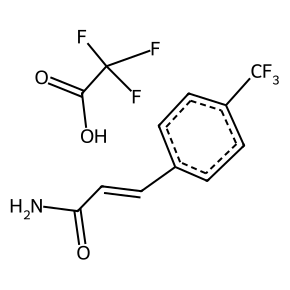 NC(=O)C=Cc1ccc(C(F)(F)F)cc1.O=C(O)C(F)(F)F